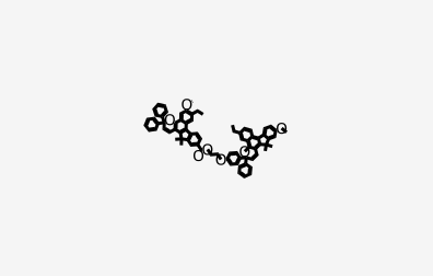 CCc1ccc2c3c(c4c(c2c1)OC(c1ccccc1)(c1ccc(OCCOC(=O)c2ccc5c(c2)C(C)(C)c2c6c(c7cc(OC)c(CC)cc7c2-5)OC(c2ccccc2)(c2ccccc2)C=C6)cc1)C=C4)C(C)(C)c1cc(OC)ccc1-3